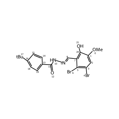 COc1cc(Br)c(Br)c(/C=N/NC(=O)c2ccc(C(C)(C)C)cc2)c1O